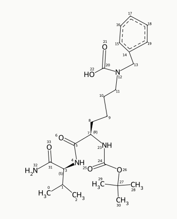 CC(C)[C@H](NC(=O)[C@@H](CCCCN(Cc1ccccc1)C(=O)O)NC(=O)OC(C)(C)C)C(N)=O